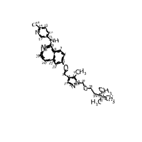 Cc1c(COc2ccc3c(Nc4ccc(Cl)nc4)nccc3c2)cnn1COCC[Si](C)(C)C